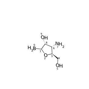 BC1O[C@H](CO)[C@@H](N)[C@H]1O